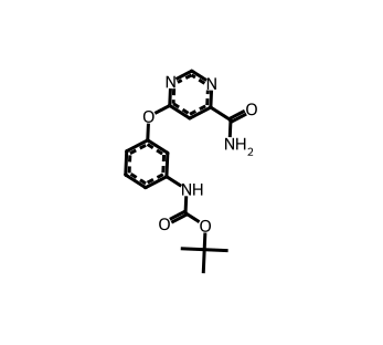 CC(C)(C)OC(=O)Nc1cccc(Oc2cc(C(N)=O)ncn2)c1